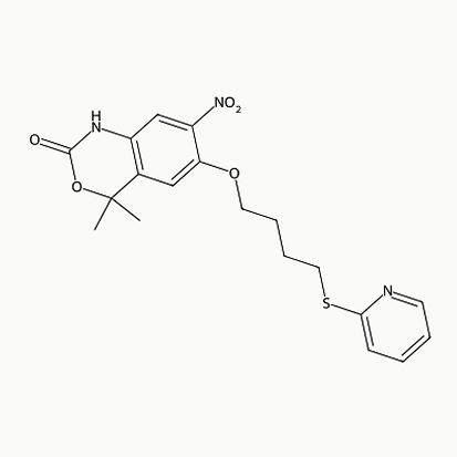 CC1(C)OC(=O)Nc2cc([N+](=O)[O-])c(OCCCCSc3ccccn3)cc21